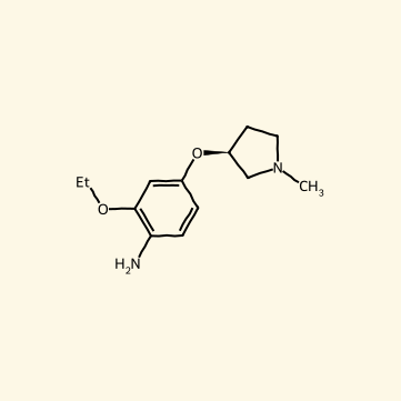 CCOc1cc(O[C@H]2CCN(C)C2)ccc1N